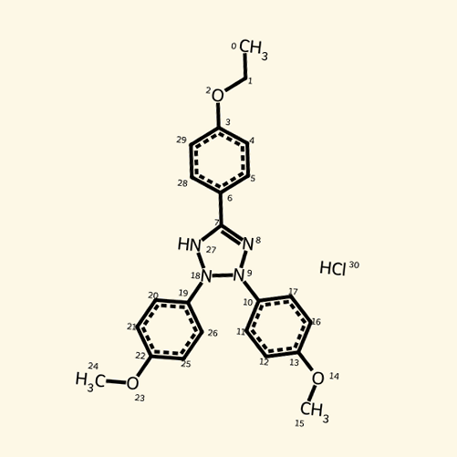 CCOc1ccc(C2=NN(c3ccc(OC)cc3)N(c3ccc(OC)cc3)N2)cc1.Cl